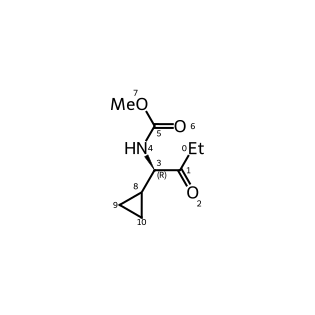 CCC(=O)[C@H](NC(=O)OC)C1CC1